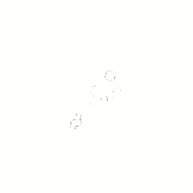 COC(=O)C(c1cccc(OC)c1)C1C=CC=C(C(=O)OCCn2ccnc2)C1=O